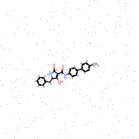 Cc1ccc(-c2ccc(NC(=O)C3=C(O)C(Cc4ccccc4)NC3=O)cc2)cc1